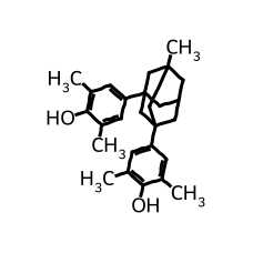 Cc1cc(C23CC4CC(C)(C2)CC(c2cc(C)c(O)c(C)c2)(C4)C3)cc(C)c1O